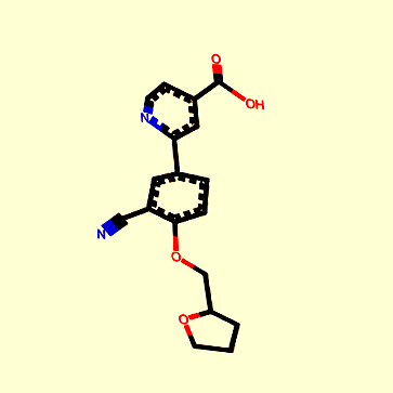 N#Cc1cc(-c2cc(C(=O)O)ccn2)ccc1OCC1CCCO1